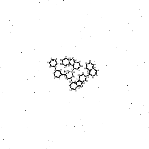 c1ccc(-c2cccc(C3=NC(c4cccc5oc6cc(-c7cccc8ccccc78)ccc6c45)=NC(c4cccc5sc6ccccc6c45)N3)c2)cc1